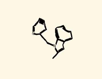 Cc1cc2ccccc2n1Cc1ccccn1